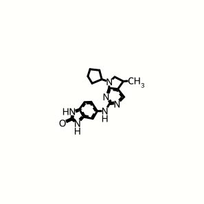 CC1CN(C2CCCC2)c2nc(Nc3ccc4[nH]c(=O)[nH]c4c3)ncc21